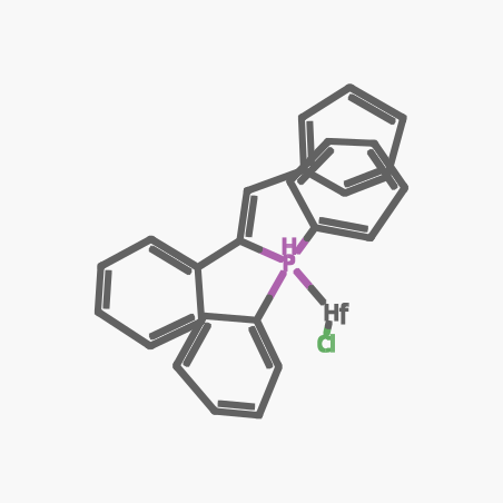 [Cl][Hf][PH](C(=Cc1ccccc1)c1ccccc1)(c1ccccc1)c1ccccc1